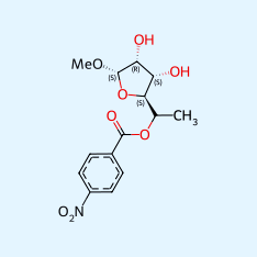 CO[C@H]1O[C@H](C(C)OC(=O)c2ccc([N+](=O)[O-])cc2)[C@@H](O)[C@H]1O